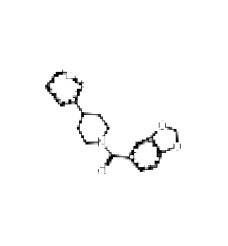 O=C(c1ccc2c(c1)OCO2)N1CCC(c2ccccc2)CC1